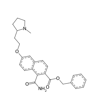 CN1CCCC1CCOc1ccc2c(C(N)=O)c(C(=O)OCc3ccccc3)ccc2c1